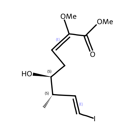 COC(=O)/C(=C\C[C@H](O)[C@@H](C)/C=C/I)OC